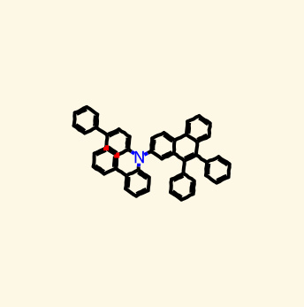 c1ccc(-c2ccc(N(c3ccc4c(c3)c(-c3ccccc3)c(-c3ccccc3)c3ccccc34)c3ccccc3-c3ccccc3)cc2)cc1